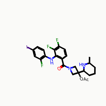 CC(=O)OC1(C2CCCC(C)N2)CN(C(=O)c2ccc(F)c(F)c2Nc2ccc(I)cc2F)C1